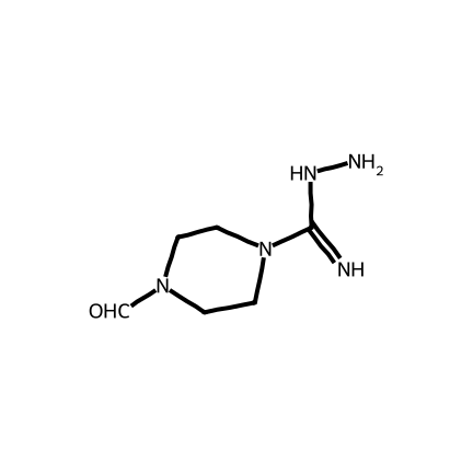 N=C(NN)N1CCN(C=O)CC1